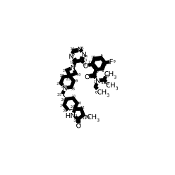 CCN(C(=O)c1cc(F)ccc1Oc1nncnc1N1CC2(CCN(C[C@H]3CC[C@]4(CC3)C[C@H](C)C(=O)N4)CC2)C1)C(C)C